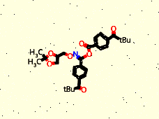 CC1(C)OCC(CON=C(OC(=O)c2ccc(C(=O)C(C)(C)C)cc2)c2ccc(C(=O)C(C)(C)C)cc2)O1